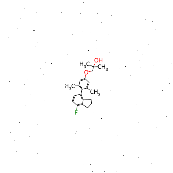 Cc1cc(OCC(C)(C)O)cc(C)c1-c1ccc(F)c2c1CCC2